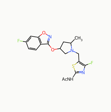 CC(=O)Nc1nc(F)c(CN2CC(Oc3noc4cc(F)ccc34)CC2C)s1